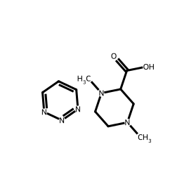 CN1CCN(C)C(C(=O)O)C1.c1cnnnc1